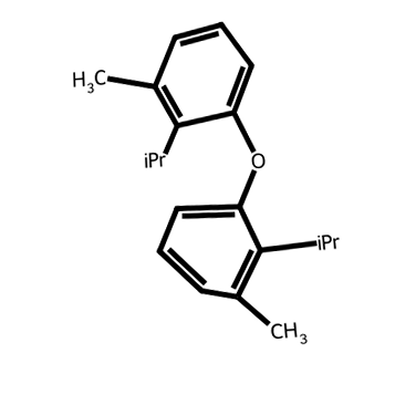 Cc1cccc(Oc2cccc(C)c2C(C)C)c1C(C)C